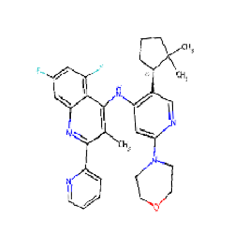 Cc1c(-c2ccccn2)nc2cc(F)cc(F)c2c1Nc1cc(N2CCOCC2)ncc1[C@H]1CCCC1(C)C